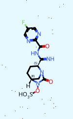 N=C(NC(=O)c1ncc(F)cn1)[C@@H]1CC[C@@H]2CN1C(=O)N2OS(=O)(=O)O